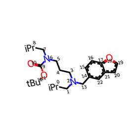 CC(C)CN(CCCN(CC(C)C)C(=O)OC(C)(C)C)Cc1ccc2occc2c1